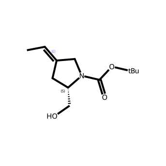 C/C=C1\C[C@@H](CO)N(C(=O)OC(C)(C)C)C1